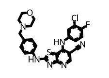 N#Cc1cnc2nc(Nc3ccc(CN4CCOCC4)cc3)sc2c1Nc1ccc(F)c(Cl)c1